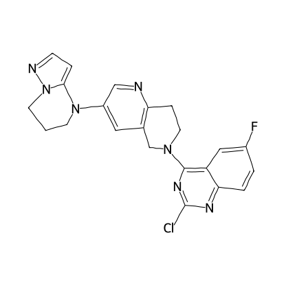 Fc1ccc2nc(Cl)nc(N3CCc4ncc(N5CCCn6nccc65)cc4C3)c2c1